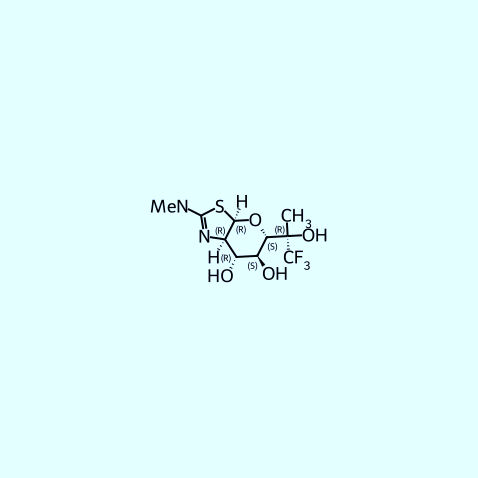 CNC1=N[C@@H]2[C@@H](O)[C@H](O)[C@@H]([C@@](C)(O)C(F)(F)F)O[C@@H]2S1